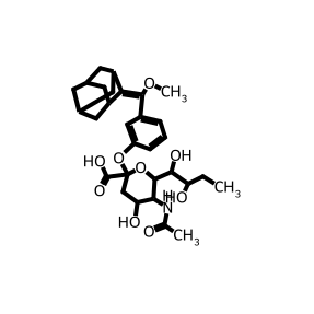 CCC(O)C(O)C1OC(Oc2cccc(C(OC)=C3C4CC5CC(C4)CC3C5)c2)(C(=O)O)CC(O)C1NC(C)=O